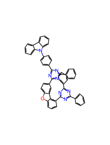 c1ccc(-c2nc(-c3ccc(-n4c5ccccc5c5ccccc54)cc3)nc(-c3ccc4oc5cccc(-c6nc(-c7ccccc7)nc(-c7ccccc7)n6)c5c4c3)n2)cc1